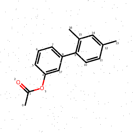 CC(=O)Oc1cccc(-c2ccc(C)[c]c2C)c1